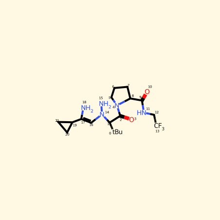 CC(C)(C)C(C(=O)N1CCCC1C(=O)NCC(F)(F)F)N(N)/C=C(\N)C1CC1